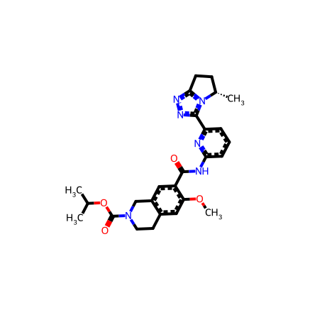 COc1cc2c(cc1C(=O)Nc1cccc(-c3nnc4n3[C@@H](C)CC4)n1)CN(C(=O)OC(C)C)CC2